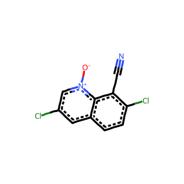 N#Cc1c(Cl)ccc2cc(Cl)c[n+]([O-])c12